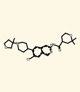 CC1(C)CC(C(=O)Nc2cc3cc(C4CCN(C5(C)CCOC5)CC4)c(Cl)cc3cn2)CCO1